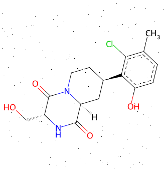 Cc1ccc(O)c([C@@H]2CCN3C(=O)[C@@H](CO)NC(=O)[C@@H]3C2)c1Cl